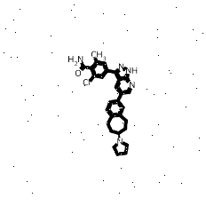 Cc1cc(-c2n[nH]c3ncc(-c4ccc5c(c4)CC[C@@H](N4CCCC4)CC5)cc23)cc(Cl)c1C(N)=O